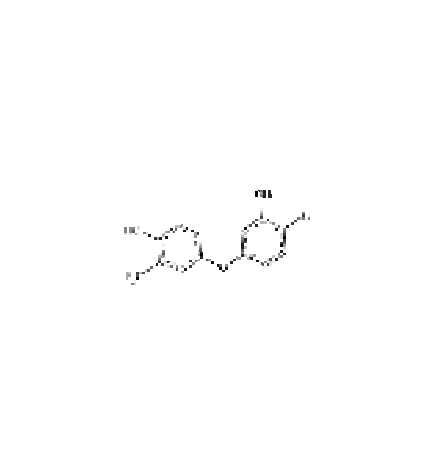 CCc1ccc(Oc2ccc(O)c(C(F)(F)F)c2)cc1O